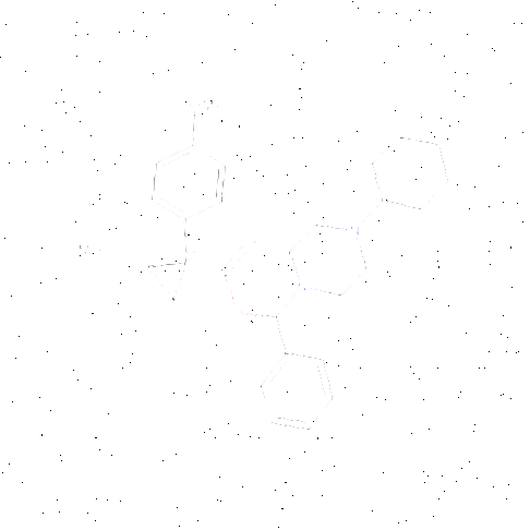 COc1ccc([C@@]2(C(=O)OC(c3ccccc3)N3CCN(C4CCCCC4)CC3)C[C@@H]2OC)cc1